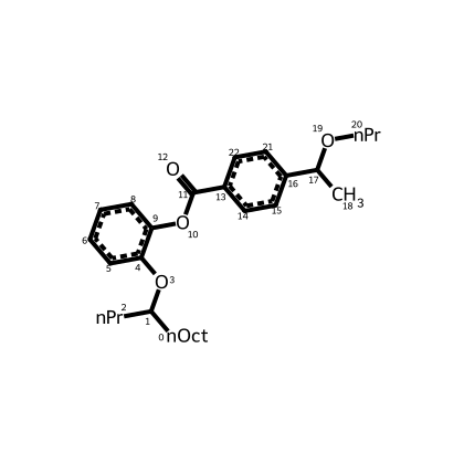 CCCCCCCCC(CCC)Oc1ccccc1OC(=O)c1ccc(C(C)OCCC)cc1